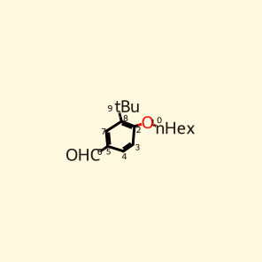 CCCCCCOc1ccc(C=O)cc1C(C)(C)C